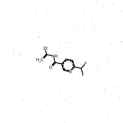 C=C(CC)NC(=O)c1ccc(C(F)F)nc1